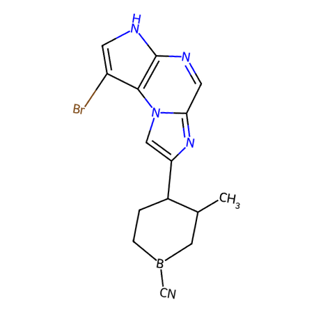 CC1CB(C#N)CCC1c1cn2c(cnc3[nH]cc(Br)c32)n1